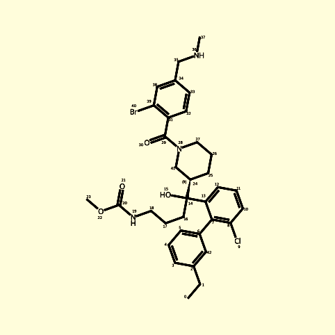 CCc1cccc(-c2c(Cl)cccc2C(O)(CCCNC(=O)OC)[C@@H]2CCCN(C(=O)c3ccc(CNC)cc3Br)C2)c1